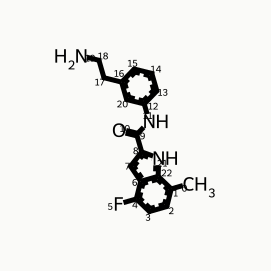 Cc1ccc(F)c2cc(C(=O)Nc3cccc(CCN)c3)[nH]c12